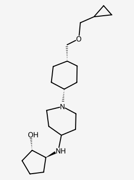 O[C@H]1CCC[C@@H]1NC1CCN([C@H]2CC[C@@H](COCC3CC3)CC2)CC1